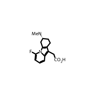 CN[C@@H]1CCc2c(CC(=O)O)c3cccc(F)n3c2C1